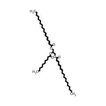 CCCCCCCCCCCC=CC=CC=CC(=O)OCC(COC(=O)C=CC=CC=CCCCCCCCCCCC)OC(=O)CCCCCCCCC